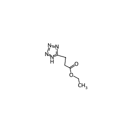 CCOC(=O)CCc1nnn[nH]1